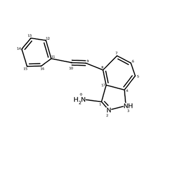 Nc1n[nH]c2cccc(C#Cc3ccccc3)c12